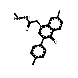 CNNC(=O)Cn1cc(-c2ccc(C)cc2)c(=O)c2ccc(C)cc21